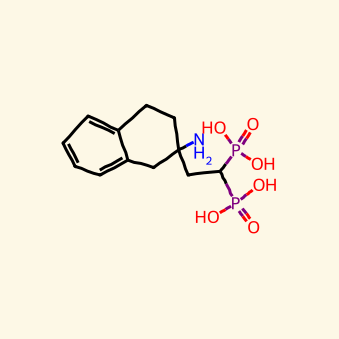 NC1(CC(P(=O)(O)O)P(=O)(O)O)CCc2ccccc2C1